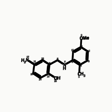 COc1ccc(C)c(NCc2cc(N)ccc2O)c1